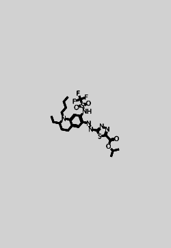 CCCCN1c2cc(NS(=O)(=O)C(F)(F)F)c(N=Nc3nnc(C(=O)OC(C)C)s3)cc2CCC1CC